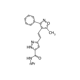 CCCNC(=O)c1cc(C=Cc2c(-c3ccccc3)noc2C)n[nH]1